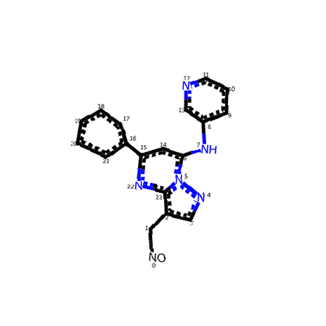 O=NCc1cnn2c(Nc3cccnc3)cc(-c3ccccc3)nc12